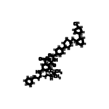 CC(C)(C)NCC[C@H](CSc1ccccc1)Nc1ccc(S(=O)(=O)NC(=O)c2ccc(N3CCN(Cc4ccccc4-c4ccc(Cl)cc4)CC3)cc2)c([N+](=O)[O-])c1